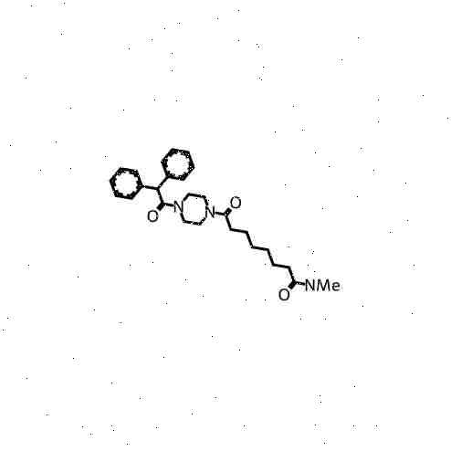 CNC(=O)CCCCCCC(=O)N1CCN(C(=O)C(c2ccccc2)c2ccccc2)CC1